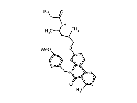 COc1ccc(Cn2c(=O)c3c(C)nccc3c3ccc(OCC(C)CC(C)NC(=O)OC(C)(C)C)cc32)cc1